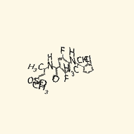 C[C@H](/C=C/S(C)(=O)=O)NC(=O)c1cc(F)c(NC(C)(C)c2ccccc2Cl)cc1F